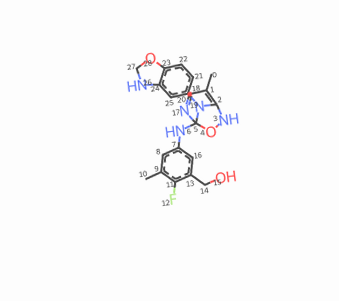 CC1=C2NOC(Nc3cc(C)c(F)c(CO)c3)(N=C1)N2c1ccc2c(c1)NCO2